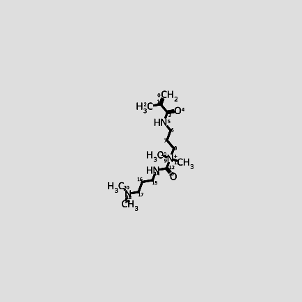 C=C(C)C(=O)NCCC[N+](C)(C)C(=O)NCCCN(C)C